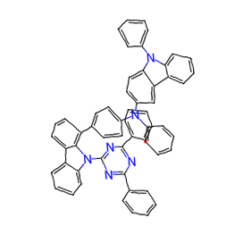 c1ccc(-c2nc(-c3ccccc3)nc(-n3c4ccccc4c4cccc(-c5ccc(N(c6ccccc6)c6ccc7c(c6)c6ccccc6n7-c6ccccc6)cc5)c43)n2)cc1